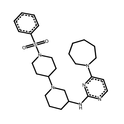 O=S(=O)(c1ccccc1)N1CCC(N2CCCC(Nc3nccc(N4CCCCCC4)n3)C2)CC1